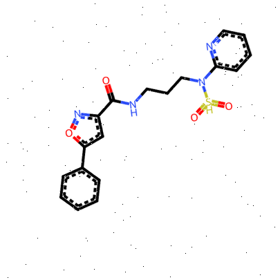 O=C(NCCCN(c1ccccn1)[SH](=O)=O)c1cc(-c2ccccc2)on1